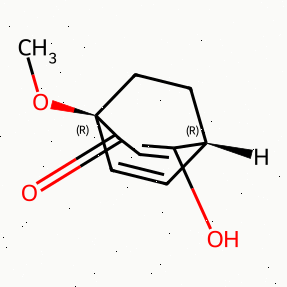 CO[C@@]12C=C[C@@H](CC1)C(O)=CC2=O